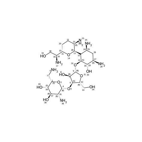 NC[C@@H]1O[C@H](O[C@H]2[C@@H](O)[C@H](O[C@H]3C([C@H]4O[C@H]([C@@H](N)CO)CC[C@H]4N)[C@@H](N)C[C@@H](N)[C@@H]3O)O[C@@H]2CO)[C@H](N)[C@@H](O)[C@@H]1O